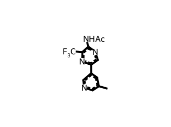 CC(=O)Nc1ncc(-c2cncc(C)c2)nc1C(F)(F)F